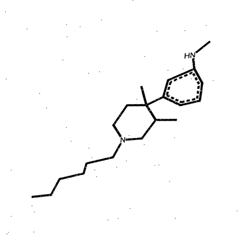 CCCCCCN1CCC(C)(c2cccc(NC)c2)C(C)C1